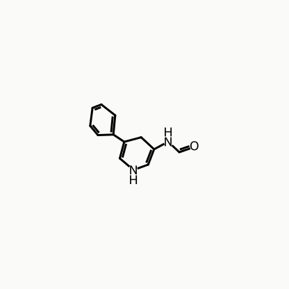 O=CNC1=CNC=C(c2ccccc2)C1